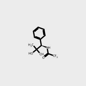 CC(C)(O)[C@H](NC(=O)C(F)(F)F)c1ccccc1